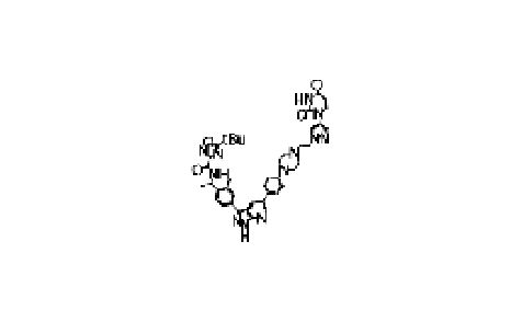 Cc1cc(-c2n[nH]c3ncc(-c4ccc(N5CCN(CCn6cc(N7CCC(=O)NC7=O)cn6)CC5)cc4)cc23)ccc1C(C)NC(=O)c1noc(C(C)(C)C)n1